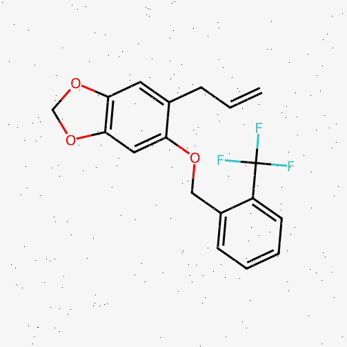 C=CCc1cc2c(cc1OCc1ccccc1C(F)(F)F)OCO2